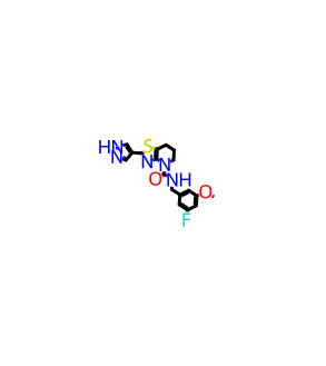 COc1cc(F)cc(CNC(=O)N2CCCc3sc(-c4cn[nH]c4)nc32)c1